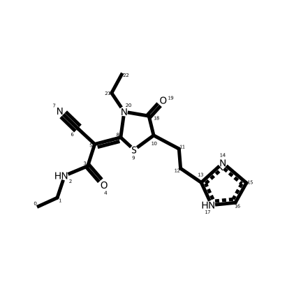 CCNC(=O)/C(C#N)=C1\SC(CCc2ncc[nH]2)C(=O)N1CC